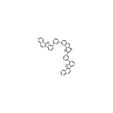 c1cc(-c2ccc3sc4ncc(-c5cccc(-c6cccc7c6oc6c8ccccc8ccc76)c5)nc4c3c2)cc(-c2cccc3c2oc2c4ccccc4ccc32)c1